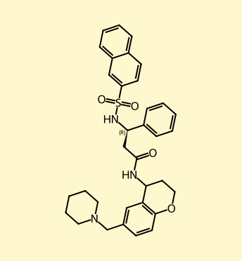 O=C(C[C@@H](NS(=O)(=O)c1ccc2ccccc2c1)c1ccccc1)NC1CCOc2ccc(CN3CCCCC3)cc21